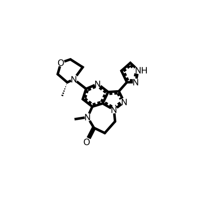 C[C@@H]1COCCN1c1cc2c3c(n1)c(-c1cc[nH]n1)nn3CCC(=O)N2C